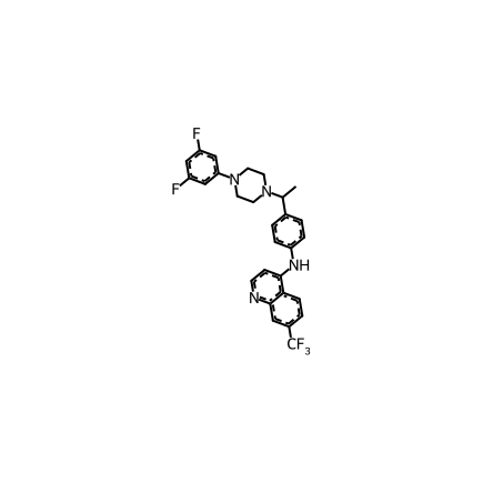 CC(c1ccc(Nc2ccnc3cc(C(F)(F)F)ccc23)cc1)N1CCN(c2cc(F)cc(F)c2)CC1